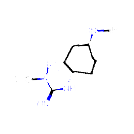 CC(C)N[C@H]1CC[C@H](NC(=N)N(C)N)CC1